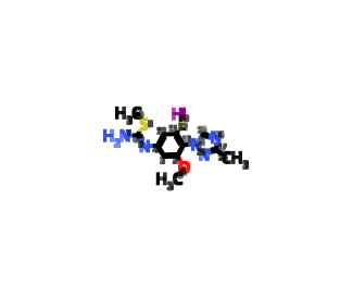 COc1cc(N=C(N)SC)cc(F)c1-n1cnc(C)n1.I